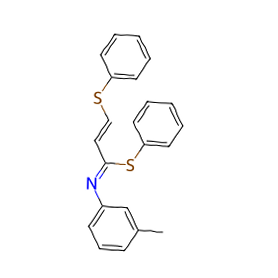 Cc1cccc(N=C(C=CSc2ccccc2)Sc2ccccc2)c1